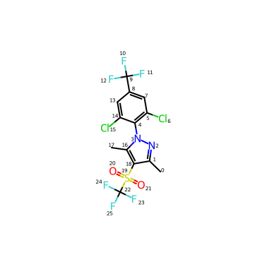 Cc1nn(-c2c(Cl)cc(C(F)(F)F)cc2Cl)c(C)c1S(=O)(=O)C(F)(F)F